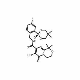 CC1(C)COP(=O)(c2cc(F)ccc2CNC(=O)c2nc3n(c(=O)c2O)CCOC3(C)C)OC1